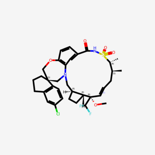 CO[C@@]1(C(F)F)/C=C/C[C@H](C)[C@@H](C)S(=O)(=O)NC(=O)c2ccc3c(c2)N(C[C@@H]2CC[C@H]21)C[C@@]1(CCCc2cc(Cl)ccc21)CO3